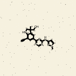 C#Cc1cc(-c2ncnc(Nc3ccn(C)n3)n2)cc2c1NCC2(C)CO